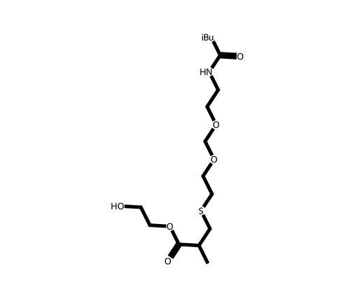 CCC(C)C(=O)NCCOCOCCSCC(C)C(=O)OCCO